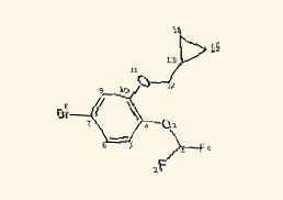 FC(F)Oc1ccc(Br)cc1OCC1CC1